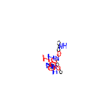 CN(C)S(=O)(=O)Nc1cc(C(O)CNCCOc2ccc3c4c([nH]c3c2)CCCC4)ccc1OCc1ccccc1